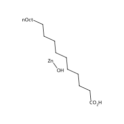 CCCCCCCCCCCCCCCCCC(=O)O.[OH][Zn]